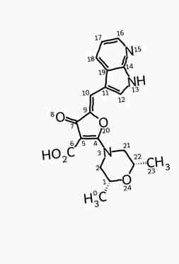 C[C@@H]1CN(C2=C(C(=O)O)C(=O)C(=Cc3c[nH]c4ncccc34)O2)C[C@H](C)O1